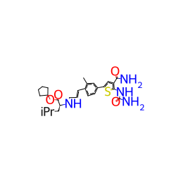 Cc1cc(-c2cc(C(N)=O)c(NC(N)=O)s2)ccc1/C=C/CN[C@@H](CC(C)C)C(=O)OC1CCCC1